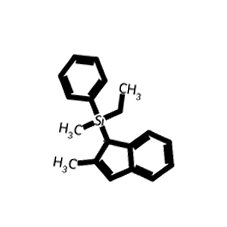 CC[Si](C)([C]1C(C)=Cc2ccccc21)c1ccccc1